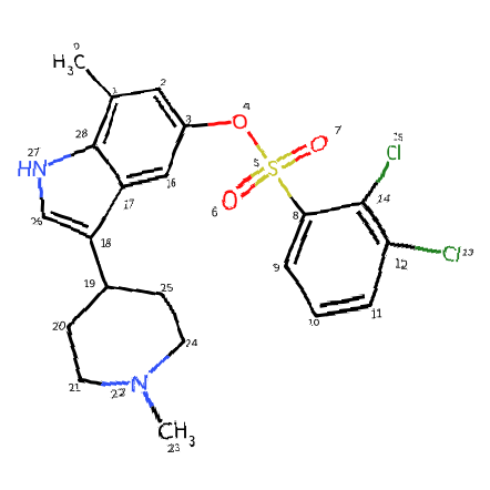 Cc1cc(OS(=O)(=O)c2cccc(Cl)c2Cl)cc2c(C3CCN(C)CC3)c[nH]c12